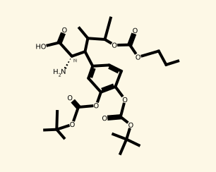 CCCOC(=O)OC(C)C(C)C(c1ccc(OC(=O)OC(C)(C)C)c(OC(=O)OC(C)(C)C)c1)[C@H](N)C(=O)O